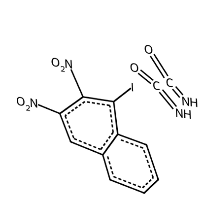 N=C=O.N=C=O.O=[N+]([O-])c1cc2ccccc2c(I)c1[N+](=O)[O-]